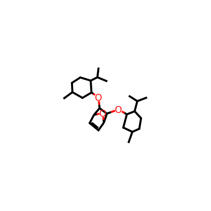 CC1CCC(C(C)C)C(OC2C3C=CC(O3)C2OC2CC(C)CCC2C(C)C)C1